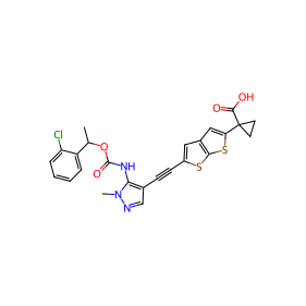 CC(OC(=O)Nc1c(C#Cc2cc3cc(C4(C(=O)O)CC4)sc3s2)cnn1C)c1ccccc1Cl